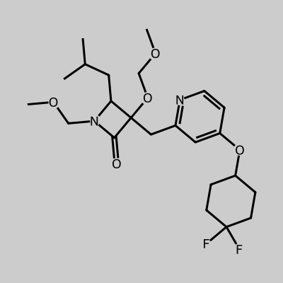 COCOC1(Cc2cc(OC3CCC(F)(F)CC3)ccn2)C(=O)N(COC)C1CC(C)C